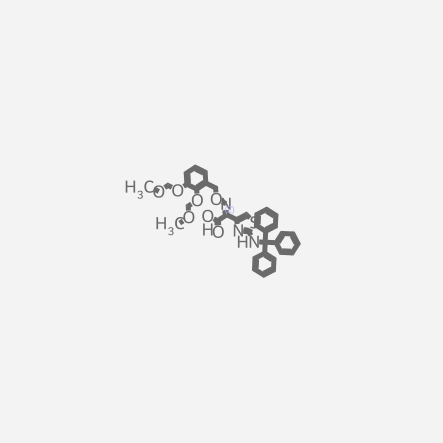 COCOc1cccc(CO/N=C(\C(=O)O)c2csc(NC(c3ccccc3)(c3ccccc3)c3ccccc3)n2)c1OCOC